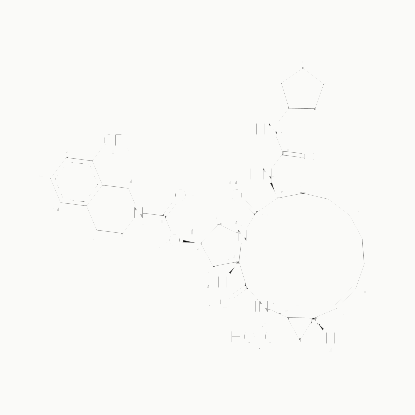 O=C(NC1CCCC1)N[C@H]1CCCCCC=C[C@@H]2C[C@@]2(C(=O)O)NC(=O)[C@@H]2C[C@@H](OC(=O)N3CCc4cccc(C(F)(F)F)c4C3)CN2C1=O